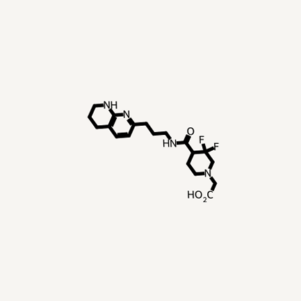 O=C(O)CN1CCC(C(=O)NCCCc2ccc3c(n2)NCCC3)C(F)(F)C1